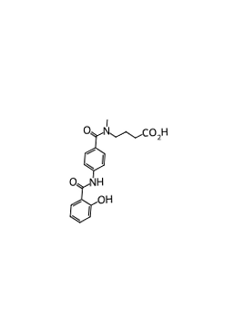 CN(CCCC(=O)O)C(=O)c1ccc(NC(=O)c2ccccc2O)cc1